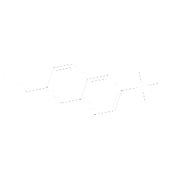 [CH3][Sn]([CH3])([CH3])[c]1ccc2cc(CO)ccc2c1